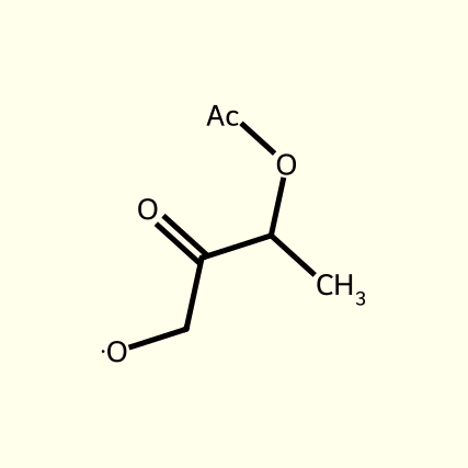 CC(=O)OC(C)C(=O)C[O]